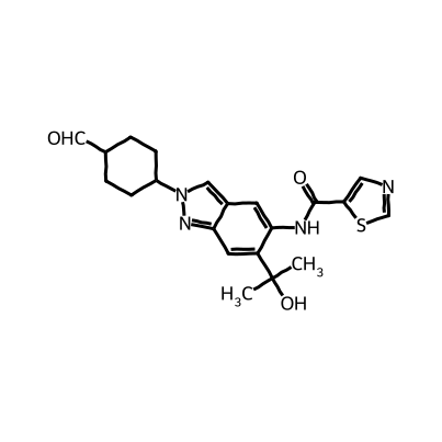 CC(C)(O)c1cc2nn(C3CCC(C=O)CC3)cc2cc1NC(=O)c1cncs1